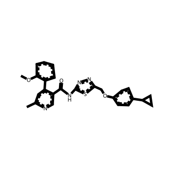 COc1ccccc1-c1cc(C)ncc1C(=O)Nc1nnc(COc2ccc(C3CC3)cc2)s1